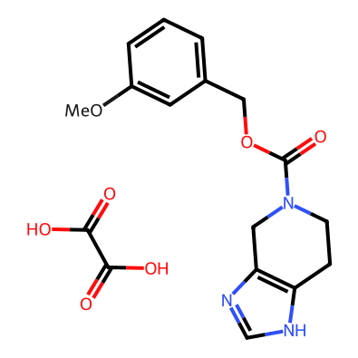 COc1cccc(COC(=O)N2CCc3[nH]cnc3C2)c1.O=C(O)C(=O)O